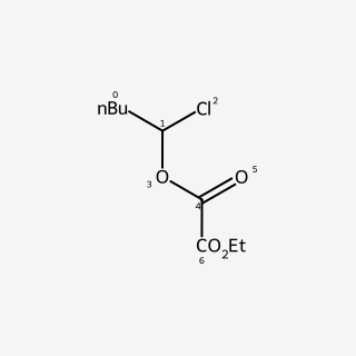 CCCCC(Cl)OC(=O)C(=O)OCC